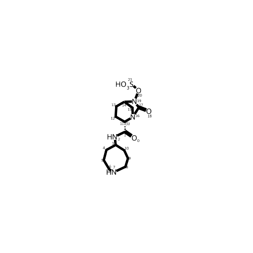 O=C(NC1CCCNCCC1)[C@@H]1CCC2CN1C(=O)N2OS(=O)(=O)O